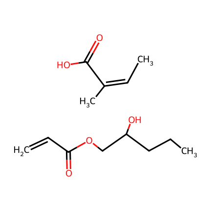 C=CC(=O)OCC(O)CCC.CC=C(C)C(=O)O